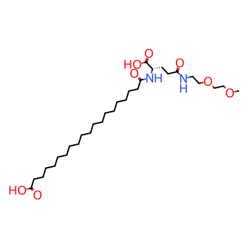 COCCOCCNC(=O)CC[C@H](NC(=O)CCCCCCCCCCCCCCCCCCC(=O)O)C(=O)O